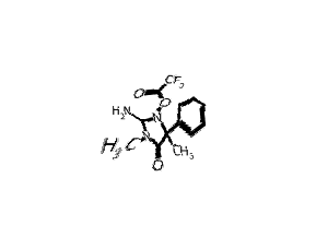 CN1C(=O)C(C)(c2ccccc2)N(OC(=O)C(F)(F)F)C1N